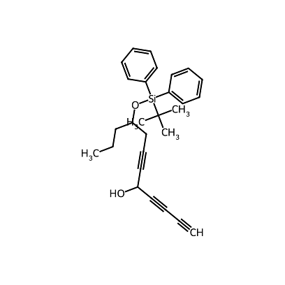 C#CC#CC(O)C#CCC(CCC)O[Si](c1ccccc1)(c1ccccc1)C(C)(C)C